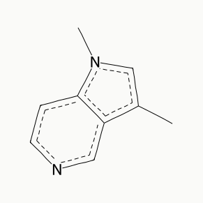 Cc1cn(C)c2ccncc12